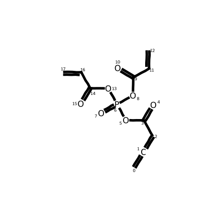 C=C=CC(=O)OP(=O)(OC(=O)C=C)OC(=O)C=C